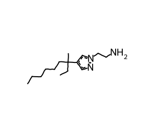 CCCCCCC(C)(CC)c1cnn(CCN)c1